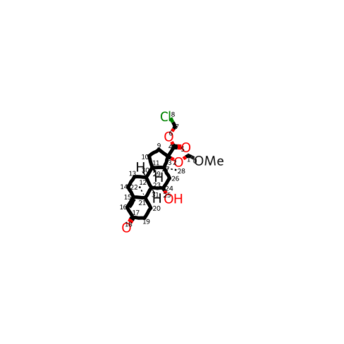 COCOC1(C(=O)OCCl)CC[C@H]2[C@@H]3CCC4=CC(=O)CC[C@]4(C)[C@@H]3C(O)C[C@@]21C